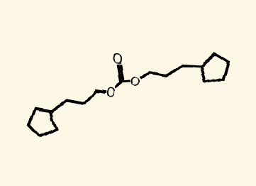 O=C(OCCCC1CCCC1)OCCCC1CCCC1